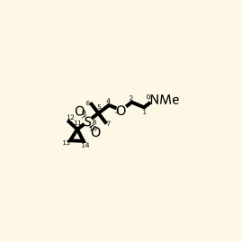 CNCCOCC(C)(C)S(=O)(=O)C1(C)CC1